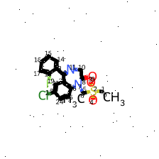 CCS(=O)(=O)C(C)N1C(=O)CN=C(c2ccccc2F)c2cc(Cl)ccc21